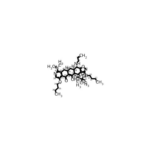 C=CCN[C@@H]1c2onc(OCCCC)c2C(=O)[C@@]2(O[Si](C)(C)C(C)(C)C)C(O)=C3C(=O)c4c(OCCCC)cnc(N(C)C)c4C[C@H]3C[C@@H]12